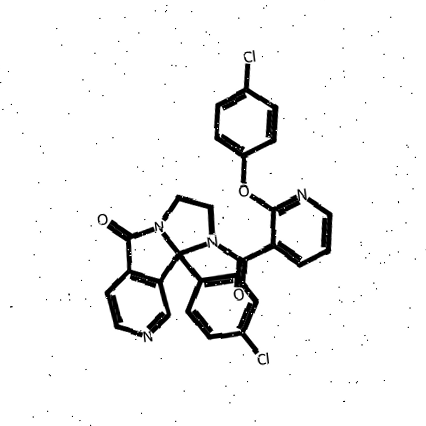 O=C1c2ccncc2C2(c3ccc(Cl)cc3)N1CCN2C(=O)c1cccnc1Oc1ccc(Cl)cc1